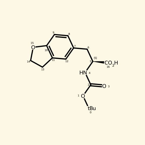 CC(C)(C)OC(=O)N[C@@H](Cc1ccc2c(c1)CCO2)C(=O)O